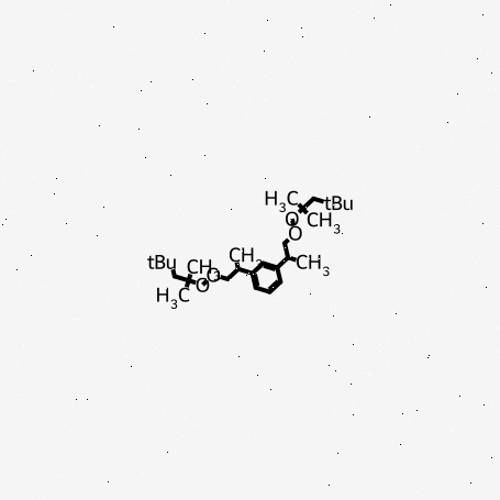 CC(COOC(C)(C)CC(C)(C)C)c1cccc(C(C)COOC(C)(C)CC(C)(C)C)c1